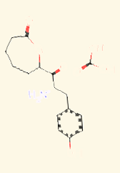 N[C@@H](Cc1ccc(O)cc1)C(=O)C1CCCCC(=O)O1.O=C(O)O